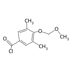 COCOc1c(C)cc(C(=O)Cl)cc1C